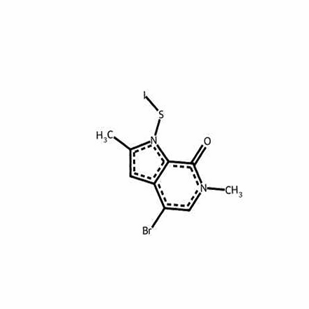 Cc1cc2c(Br)cn(C)c(=O)c2n1SI